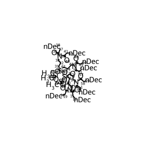 CCCCCCCCCCCC(=O)N(CCC[Si]1(CCCN(C(=O)CCCCCCCCCCC)C(=O)CCCCCCCCCCC)O[Si](C)(C)O[Si](C)(C)O[Si](CCCN(C(=O)CCCCCCCCCCC)C(=O)CCCCCCCCCCC)(CCCN(C(=O)CCCCCCCCCCC)C(=O)CCCCCCCCCCC)O1)C(=O)CCCCCCCCCCC